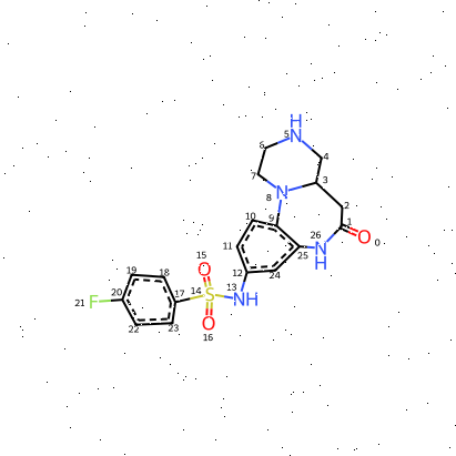 O=C1CC2CNCCN2c2ccc(NS(=O)(=O)c3ccc(F)cc3)cc2N1